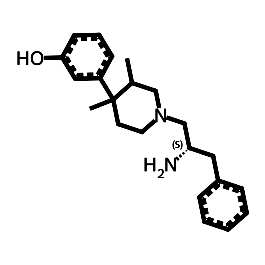 CC1CN(C[C@@H](N)Cc2ccccc2)CCC1(C)c1cccc(O)c1